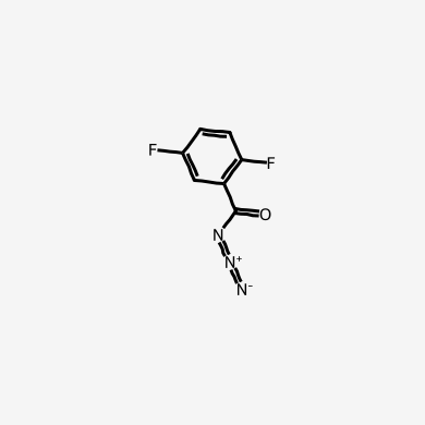 [N-]=[N+]=NC(=O)c1cc(F)ccc1F